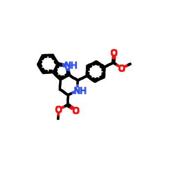 COC(=O)c1ccc(C2NC(C(=O)OC)Cc3c2[nH]c2ccccc32)cc1